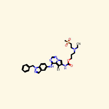 CCc1c(NC(=O)OCCCN(CC#N)CCS(C)(=O)=O)cn2ncnc(Nc3ccc4c(cnn4Cc4ccccc4)c3)c12